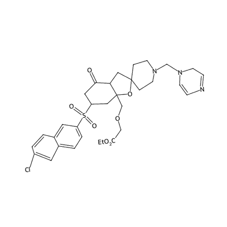 CCOC(=O)COCC12CC(S(=O)(=O)c3ccc4cc(Cl)ccc4c3)CC(=O)C1CC1(CCN(CN3C=CN=CC3)CC1)O2